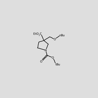 CCCCOCC1(C(=O)OCC)CCN(C(=O)OC(C)(C)C)C1